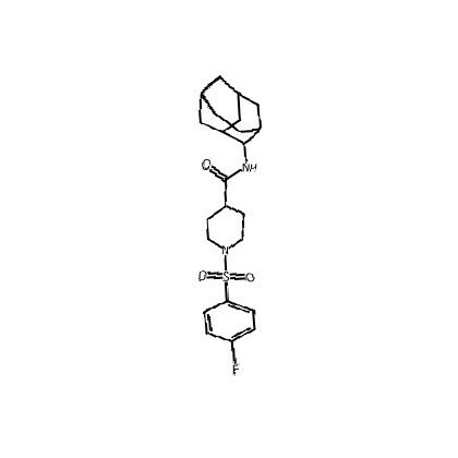 O=C(NC1C2CC3CC(C2)CC1C3)C1CCN(S(=O)(=O)c2ccc(F)cc2)CC1